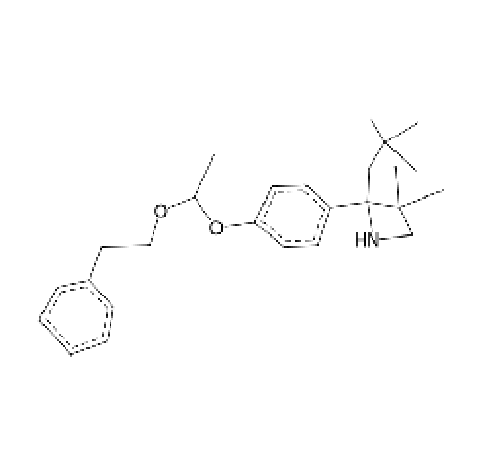 CC(OCCc1ccccc1)Oc1ccc(C2(CC(C)(C)C)NCC2(C)C)cc1